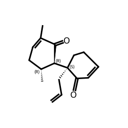 C=CC[C@]1([C@@H]2C(=O)C(C)=CC[C@H]2C)CCC=CC1=O